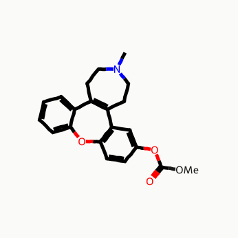 COC(=O)Oc1ccc2c(c1)C1=C(CCN(C)CC1)c1ccccc1O2